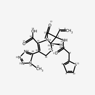 C=CC1(NC(=O)Cc2cccs2)C(=O)N2C(C(=O)O)=C(c3nnnn3C)CS[C@H]21